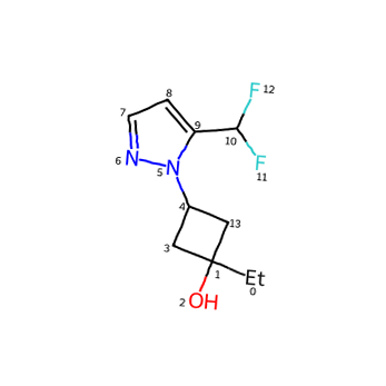 CCC1(O)CC(n2nccc2C(F)F)C1